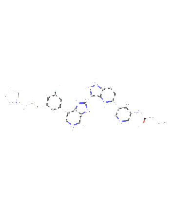 CCCC(=O)Nc1cncc(-c2ccc3[nH]nc(-c4nc5c(-c6cc(F)cc(OCCN7CCCC7)c6)cncc5[nH]4)c3n2)c1